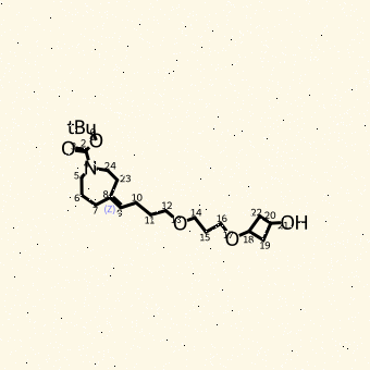 CC(C)(C)OC(=O)N1CCC/C(=C/CCCOCCCOC2CC(O)C2)CC1